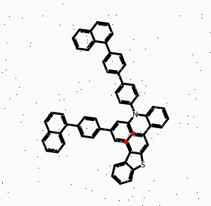 c1cc(-c2ccc(-c3cccc4ccccc34)cc2)cc(N(c2ccc(-c3ccc(-c4cccc5ccccc45)cc3)cc2)c2ccccc2-c2ccc3c(c2)sc2ccccc23)c1